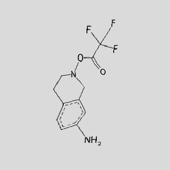 Nc1ccc2c(c1)CN(OC(=O)C(F)(F)F)CC2